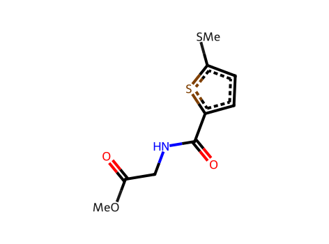 COC(=O)CNC(=O)c1ccc(SC)s1